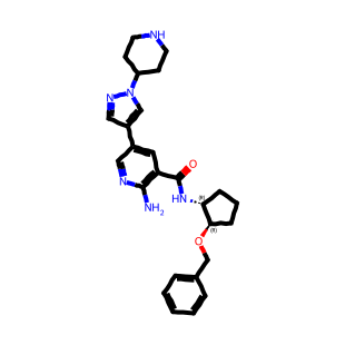 Nc1ncc(-c2cnn(C3CCNCC3)c2)cc1C(=O)N[C@@H]1CCC[C@H]1OCc1ccccc1